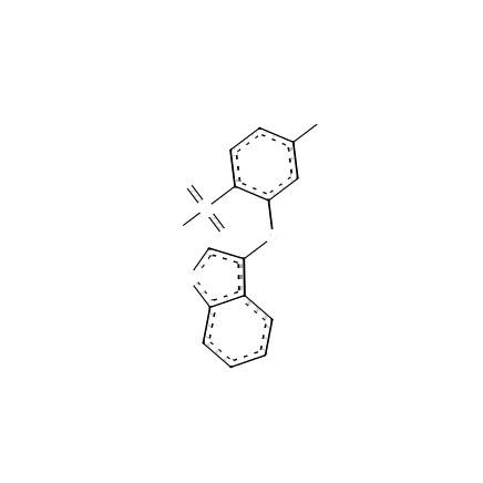 CS(=O)(=O)c1ccc(F)cc1Nc1csc2ccccc12